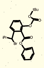 CC(C)C(Br)c1cccc(OC(=O)OC(C)(C)C)c1C(=O)Oc1ccccc1